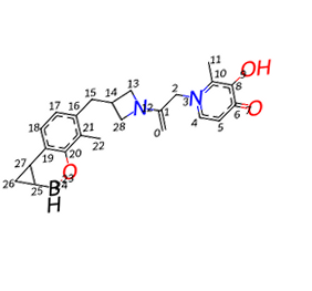 C=C(Cn1ccc(=O)c(O)c1C)N1CC(Cc2ccc3c(c2C)OBC2CC32)C1